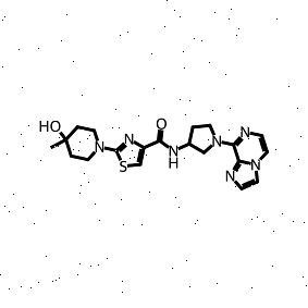 CC1(O)CCN(c2nc(C(=O)NC3CCN(c4nccn5ccnc45)C3)cs2)CC1